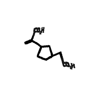 C=C(C(=O)O)C1CCC(CC(=O)O)C1